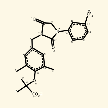 Cc1cc(CN2C(=O)CN(c3cccc(C(F)(F)F)c3)C2=O)cc(C)c1OC(C)(C)C(=O)O